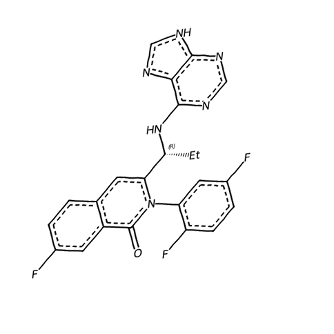 CC[C@@H](Nc1ncnc2[nH]cnc12)c1cc2ccc(F)cc2c(=O)n1-c1cc(F)ccc1F